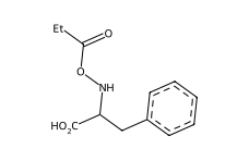 CCC(=O)ONC(Cc1ccccc1)C(=O)O